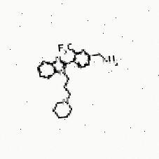 NCc1ccc(-c2nc3ccccc3n2CCCN2CCCCC2)c(C(F)(F)F)c1